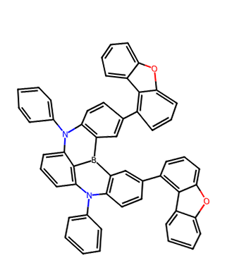 c1ccc(N2c3ccc(-c4cccc5oc6ccccc6c45)cc3B3c4cc(-c5cccc6oc7ccccc7c56)ccc4N(c4ccccc4)c4cccc2c43)cc1